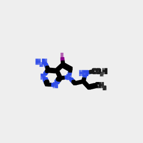 C=CC(Cn1cc(I)c2c(N)ncnc21)NC(=O)O